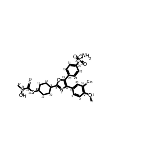 COc1ccc(-c2nc(C3CCC(SC(=S)N(C)O)CC3)oc2-c2ccc(S(N)(=O)=O)cc2)cc1F